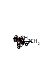 C=CCCCCC[C@H](Nc1cccc(F)c1)C(=O)N1C[C@H](Oc2nccc3ccccc23)C[C@H]1C(=O)N[C@]1(C(=O)NS(=O)(=O)C2(C)CC2)C[C@H]1C=C